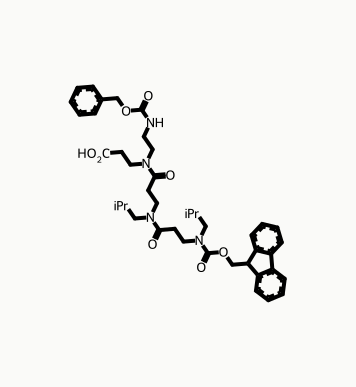 CC(C)CN(CCC(=O)N(CCNC(=O)OCc1ccccc1)CCC(=O)O)C(=O)CCN(CC(C)C)C(=O)OCC1c2ccccc2-c2ccccc21